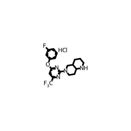 Cl.Fc1cccc(Oc2cc(C(F)(F)F)nc(N3CCC4NCCCC4C3)n2)c1